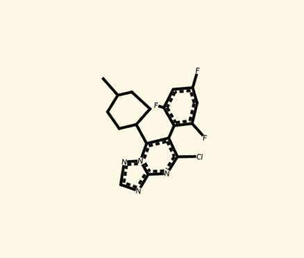 CC1CCC(c2c(-c3c(F)cc(F)cc3F)c(Cl)nc3ncnn23)CC1